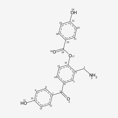 NCc1cc(C(=O)c2ccc(O)cc2)ccc1OC(=O)c1ccc(O)cc1